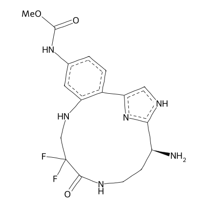 COC(=O)Nc1ccc2c(c1)NCC(F)(F)C(=O)NCC[C@H](N)c1nc-2c[nH]1